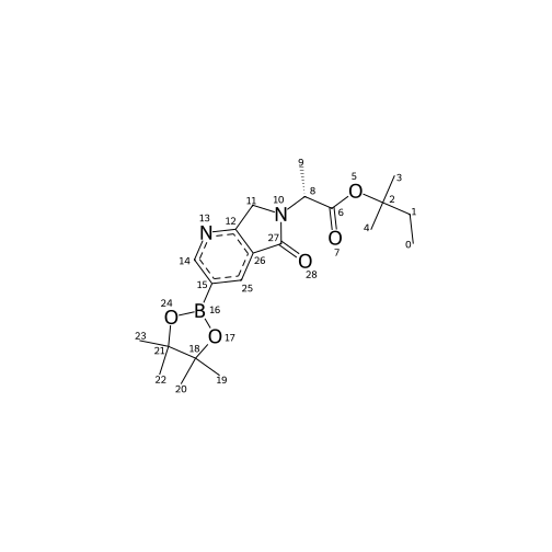 CCC(C)(C)OC(=O)[C@@H](C)N1Cc2ncc(B3OC(C)(C)C(C)(C)O3)cc2C1=O